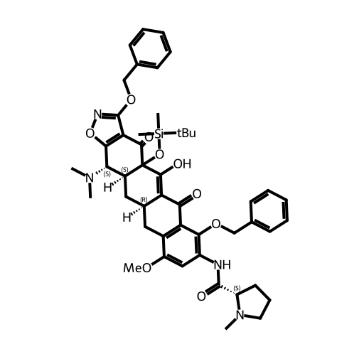 COc1cc(NC(=O)[C@@H]2CCCN2C)c(OCc2ccccc2)c2c1C[C@H]1C[C@H]3[C@H](N(C)C)c4onc(OCc5ccccc5)c4C(=O)C3(O[Si](C)(C)C(C)(C)C)C(O)=C1C2=O